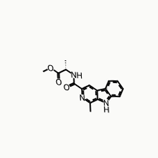 COC(=O)[C@H](C)NC(=O)c1cc2c([nH]c3ccccc32)c(C)n1